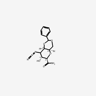 [N-]=[N+]=NC1[C@@H](O)[C@H](C(N)=O)O[C@@H]2COC(c3ccccc3)O[C@H]12